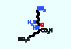 NCCCC[C@H](N)C(=O)NC(CCCCC(=O)O)C(=O)O